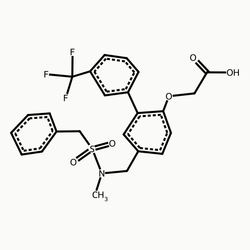 CN(Cc1ccc(OCC(=O)O)c(-c2cccc(C(F)(F)F)c2)c1)S(=O)(=O)Cc1ccccc1